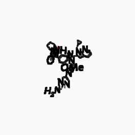 COc1cc(C(=O)N2CC3CCC2[C@@H]3N)cc2nc(-c3cc4cccnc4n3CC3CC3)n(CC3CN(c4cnc(CN)nc4)C3)c12